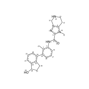 Cc1c(NC(=O)c2nc3c(n2C)CCNC3)cccc1-c1cccc2c1CCC2O